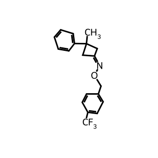 CC1(c2ccccc2)CC(=NOCc2ccc(C(F)(F)F)cc2)C1